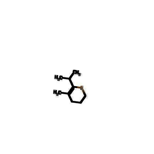 CC1=C(C(C)C)SCCC1